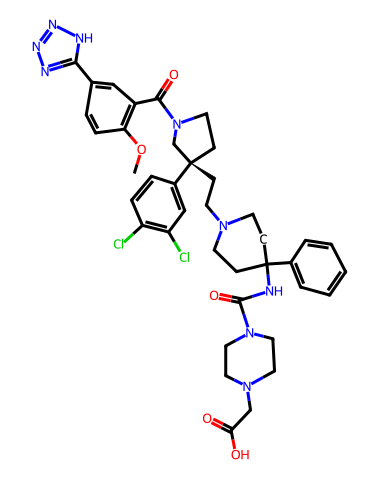 COc1ccc(-c2nnn[nH]2)cc1C(=O)N1CC[C@](CCN2CCC(NC(=O)N3CCN(CC(=O)O)CC3)(c3ccccc3)CC2)(c2ccc(Cl)c(Cl)c2)C1